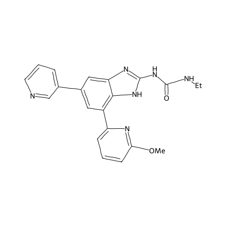 CCNC(=O)Nc1nc2cc(-c3cccnc3)cc(-c3cccc(OC)n3)c2[nH]1